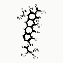 CC(C(=O)Nc1ccc2c(c1O)C(=O)C1=C(O)[C@]3(O)C(=O)C(C(N)=O)=C(O)[C@@H](N(C)C)C3CC1C2)N(C)C